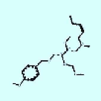 CC/C=C\C[C@@H](C)C[C@@H](OC)[C@@H](COCc1ccc(OC)cc1)OCOC